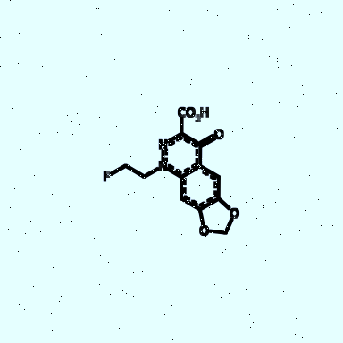 O=C(O)c1nn(CCF)c2cc3c(cc2c1=O)OCO3